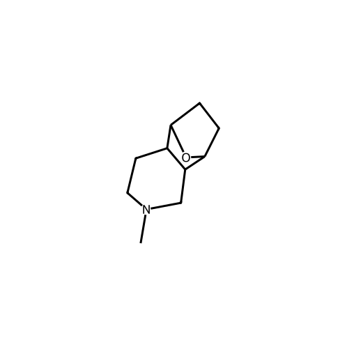 CN1CCC2C3CCC(O3)C2C1